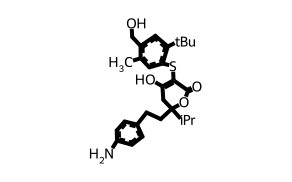 Cc1cc(SC2=C(O)CC(CCc3ccc(N)cc3)(C(C)C)OC2=O)c(C(C)(C)C)cc1CO